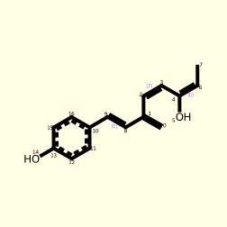 C=C(/C=C\C(O)=C/C)/C=C/c1ccc(O)cc1